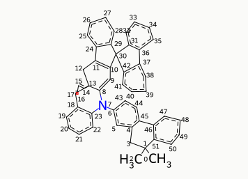 CC1(C)Cc2cc(N3C4=CC5=C(CC46C=CC=C6c4ccccc43)c3ccccc3C53c4ccccc4-c4ccccc43)ccc2-c2ccccc21